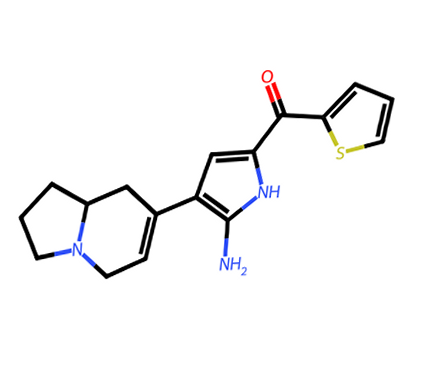 Nc1[nH]c(C(=O)c2cccs2)cc1C1=CCN2CCCC2C1